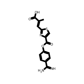 C/C(=C\c1nc(C(=O)Oc2ccc(C(=N)N)cc2)cs1)C(=O)O